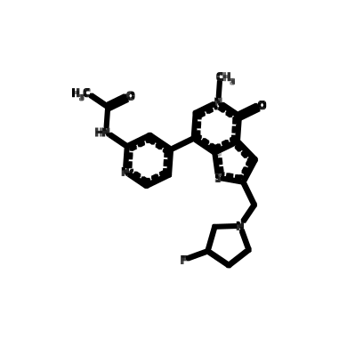 CC(=O)Nc1cc(-c2cn(C)c(=O)c3cc(CN4CCC(F)C4)sc23)ccn1